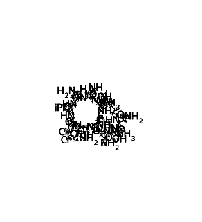 CC[C@H](C)CCCCC(=O)N[C@@H](CCN)C(=O)N[C@H](C(=O)N[C@@H](CCN)C(=O)N[C@H]1CCNC(=O)[C@H]([C@@H](C)O)NC(=O)[C@H](CCN)NC(=O)[C@H](CCN)NC(=O)[C@H](CC(C)C)NC(=O)[C@@H](Cc2cccc(Cl)c2Cl)NC(=O)[C@H](CCN)NC1=O)[C@@H](C)O